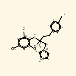 CC(CCc1ccc(F)cc1)(Cn1ccnc1)Sc1c(Cl)cc(Cl)cc1Cl